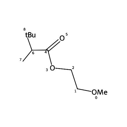 COCCOC(=O)C(C)C(C)(C)C